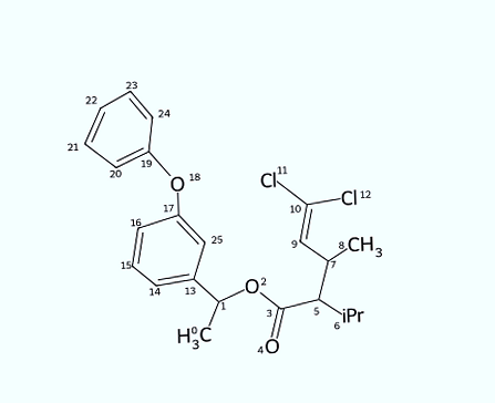 CC(OC(=O)C(C(C)C)C(C)C=C(Cl)Cl)c1cccc(Oc2ccccc2)c1